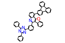 c1ccc(-c2nc(-c3ccccc3)nc(-c3cccc(-c4nc5cccc(-c6ccc7c8ccccc8c8ccccc8c7c6)c5c5oc6ccccc6c45)c3)n2)cc1